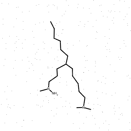 CCCCCCC(CCCCCN(C)C)CCCN(C)N